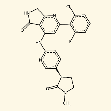 CN1CC[C@H](c2ccc(Nc3cc(-c4c(F)cccc4Cl)nc4c3C(=O)NC4)nc2)C1=O